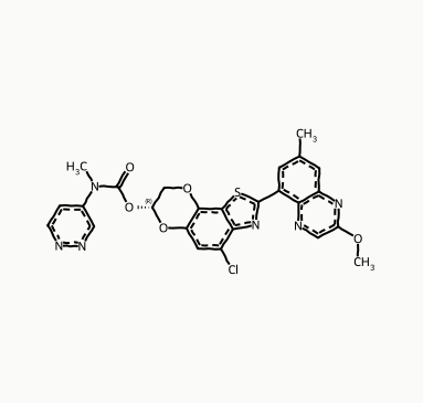 COc1cnc2c(-c3nc4c(Cl)cc5c(c4s3)OC[C@@H](OC(=O)N(C)c3ccnnc3)O5)cc(C)cc2n1